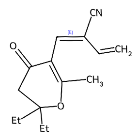 C=C/C(C#N)=C\C1=C(C)OC(CC)(CC)CC1=O